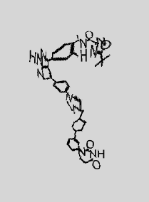 Cc1cc(-c2n[nH]c3ncc(-c4ccc(N5CCN(CC6CCC(c7cccc(N8CCC(=O)NC8=O)c7)CC6)CC5)cc4)cc23)ccc1[C@@H](C)NC(=O)c1noc(C(C)(C)C)n1